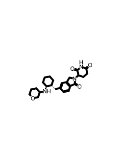 O=C1CCC(N2Cc3cc(C[C@H]4CCCC[C@@H]4NC4CCCOC4)ccc3C2=O)C(=O)N1